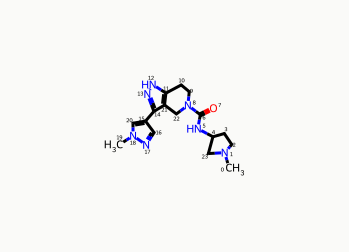 CN1CCC(NC(=O)N2CCc3[nH]nc(-c4cnn(C)c4)c3C2)C1